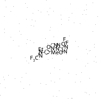 CCn1cc(C(F)(F)F)nc1-c1ccc(CN2C(=O)CCn3nc(-c4c(OC)ncnc4OC(F)F)nc32)cc1